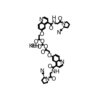 N#C[C@@H]1CCCN1C(=O)CNC(=O)c1ccnc2ccc(OCC(=O)OC(=O)OC(=O)COc3ccc4nccc(C(=O)NCC(=O)N5CCC[C@H]5C#N)c4c3)cc12.[KH].[KH]